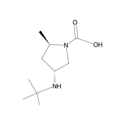 C[C@@H]1C[C@@H](NC(C)(C)C)CN1C(=O)O